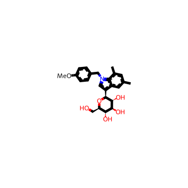 COc1ccc(Cn2cc([C@@H]3O[C@H](CO)[C@@H](O)[C@H](O)[C@H]3O)c3cc(C)cc(C)c32)cc1